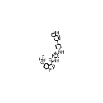 CO[C@H](C(=O)Nc1nnc(NC2CC=C(c3cc4cc[nH]c4nn3)CC2)s1)c1cc(OC(F)(F)F)ccc1F